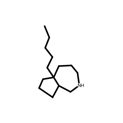 CCCCCC12CCCNCC1CCC2